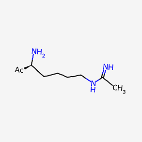 CC(=N)NCCCC[C@H](N)C(C)=O